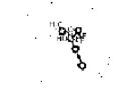 Cc1cccc(COc2cccc(C(F)(F)F)c2-c2nc(O)cc(-c3ccc(C#Cc4ccccc4)cc3)n2)c1